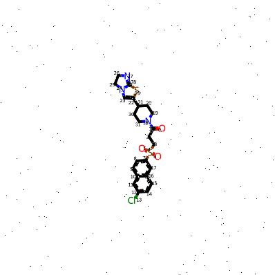 O=C(CCS(=O)(=O)c1ccc2cc(Cl)ccc2c1)N1CCC(C2=CN3CCN=C3S2)CC1